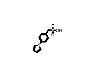 O=S(=O)(O)Cc1ccc(-n2cccc2)cc1